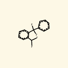 FC(F)c1ccccc1C(F)(F)c1ccccc1